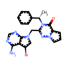 C[C@@H](c1ccccc1)n1c(Cn2cc(Br)c3c(N)ncnc32)nn2cccc2c1=O